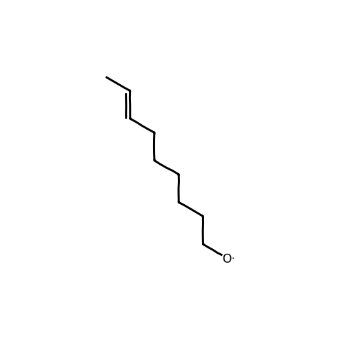 CC=CCCCCCC[O]